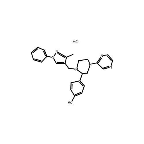 CC(=O)c1ccc(C2CN(c3cnccn3)CCN2Cc2cn(-c3ccccc3)nc2C)cc1.Cl